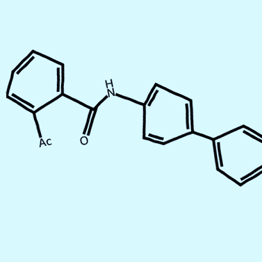 CC(=O)c1ccccc1C(=O)Nc1ccc(-c2ccccc2)cc1